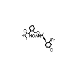 CO/N=C(/C(=O)N(C)I)c1ccccc1CO/N=C(\C)C#Cc1ccc(Cl)cc1C(C)C